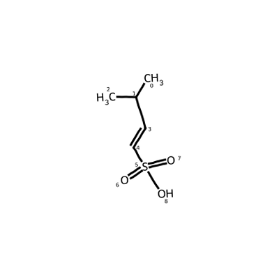 CC(C)/C=C/S(=O)(=O)O